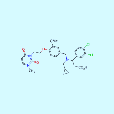 COc1cc(CN(CC2CC2)C(CC(=O)O)c2ccc(Cl)c(Cl)c2)ccc1OCCn1c(=O)ccn(C)c1=O